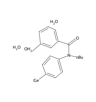 CCCCN(C(=O)c1cccc(C)c1)c1cc[c]([Ge])cc1.O.O.O